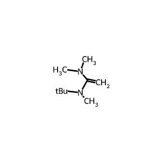 C=C(N(C)C)N(C)C(C)(C)C